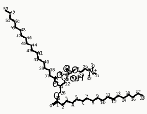 C=C(CCCCCCCCCCCCCCCCC)OCC(COP(=O)(O)OCC[N+](C)(C)C)OC(=O)CCCCCCCCCCCCCCCCC